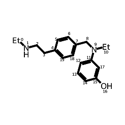 CCNCCc1ccc(CN(CC)c2cccc(O)c2)cc1